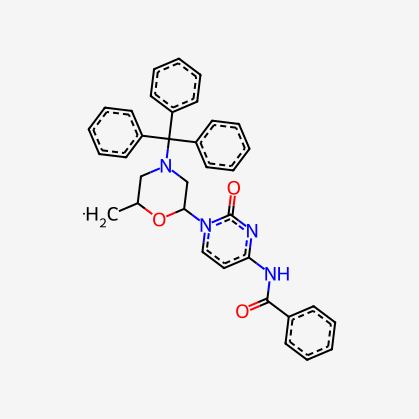 [CH2]C1CN(C(c2ccccc2)(c2ccccc2)c2ccccc2)CC(n2ccc(NC(=O)c3ccccc3)nc2=O)O1